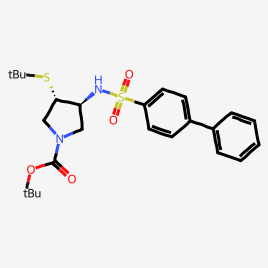 CC(C)(C)OC(=O)N1C[C@H](NS(=O)(=O)c2ccc(-c3ccccc3)cc2)[C@@H](SC(C)(C)C)C1